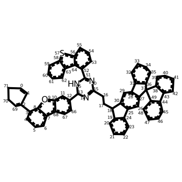 C1=CC(c2cccc3c2oc2cc(C4N=C(CCC5c6ccccc6-c6cc7c(cc65)-c5ccccc5C75c6ccccc6-c6ccccc65)N=C(c5cccc6sc7ccccc7c56)N4)ccc23)=CCC1